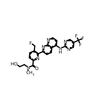 CN(CCO)C(=O)c1ccc(CF)c(-c2ccc3c(Nc4ncc(C(F)(F)F)cn4)ccnc3n2)n1